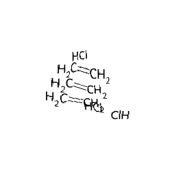 C=C.C=C.C=C.Cl.Cl.Cl